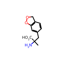 C[C@](N)(Cc1ccc2c(c1)OOC2)C(=O)O